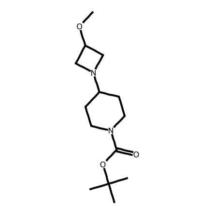 COC1CN(C2CCN(C(=O)OC(C)(C)C)CC2)C1